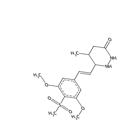 COc1cc(/C=C/C2NNC(=O)CC2C)cc(OC)c1S(C)(=O)=O